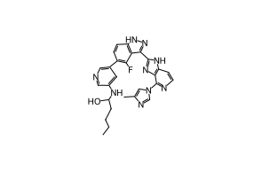 CCCCC(O)Nc1cncc(-c2ccc3[nH]nc(-c4nc5c(-n6cnc(C)c6)nccc5[nH]4)c3c2F)c1